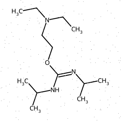 CCN(CC)CCOC(=NC(C)C)NC(C)C